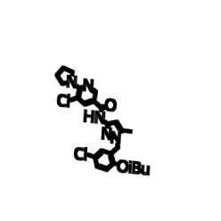 Cc1cc(NC(=O)c2cnc(N3CCCC3)c(Cl)c2)nn1Cc1cc(Cl)ccc1OCC(C)C